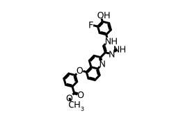 COC(=O)c1cccc(Oc2cccc3nc(/C(=C/Nc4ccc(O)c(F)c4)N=N)ccc23)c1